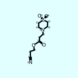 N#CCCOC(=O)CCN1CCS(=O)(=O)CC1